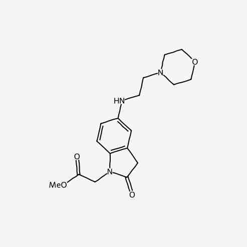 COC(=O)CN1C(=O)Cc2cc(NCCN3CCOCC3)ccc21